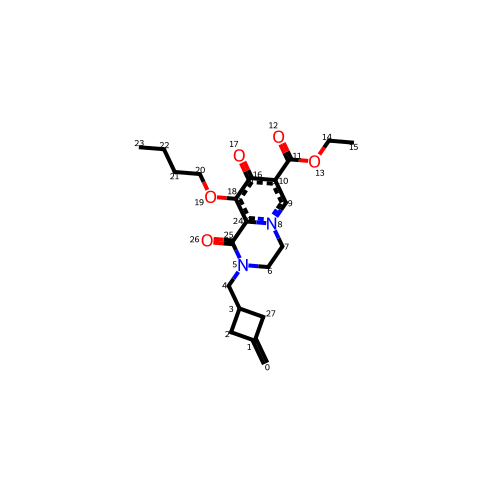 C=C1CC(CN2CCn3cc(C(=O)OCC)c(=O)c(OCCCC)c3C2=O)C1